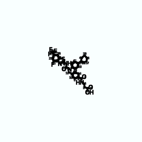 O=C(O)CCNC(=O)c1ccc(CN(C(=O)Nc2nc3c(F)cc(C(F)(F)F)cc3s2)c2ccc(C3=CCCCC3)cc2)cc1